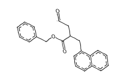 O=[C]CC(Cc1cccc2ccccc12)C(=O)OCc1ccccc1